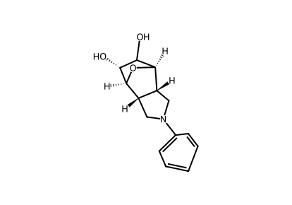 OC1[C@@H](O)[C@H]2O[C@@H]1[C@@H]1CN(c3ccccc3)C[C@@H]12